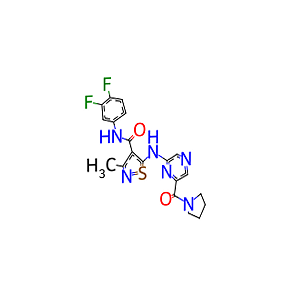 Cc1nsc(Nc2cncc(C(=O)N3CCCC3)n2)c1C(=O)Nc1ccc(F)c(F)c1